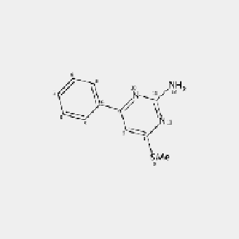 CSc1cc(-c2ccccc2)nc(N)n1